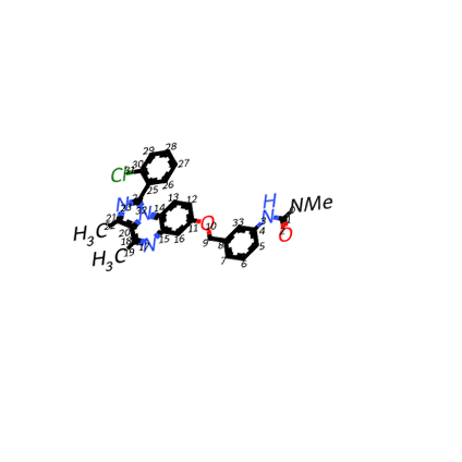 CNC(=O)Nc1cccc(COc2ccc3c(c2)nc(C)c2c(C)nc(-c4ccccc4Cl)n23)c1